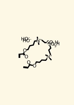 C=CC(=O)OCCCC[N+](C)(C)CCCS(=O)(=O)O.C=CC(=O)OCCCC[N+](C)(C)CCS(=O)(=O)O.[OH-].[OH-]